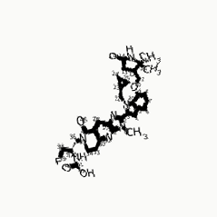 Cn1c(-c2cc3cccc(OCC4CC(=O)NC4(C)C)c3n2CC2CC2)nc2cc3c(nc21)CCN(C[C@@H](CF)NC(=O)O)C3=O